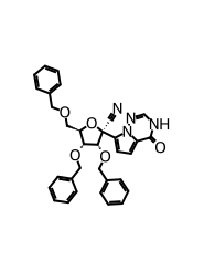 N#C[C@@]1(c2ccc3c(=O)[nH]cnn23)O[C@H](COCc2ccccc2)[C@@H](OCc2ccccc2)[C@H]1OCc1ccccc1